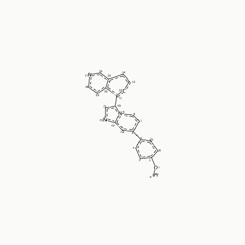 CC(C)Oc1ccc(-c2ccn3c(-c4cccc5cnccc45)cnc3c2)cc1